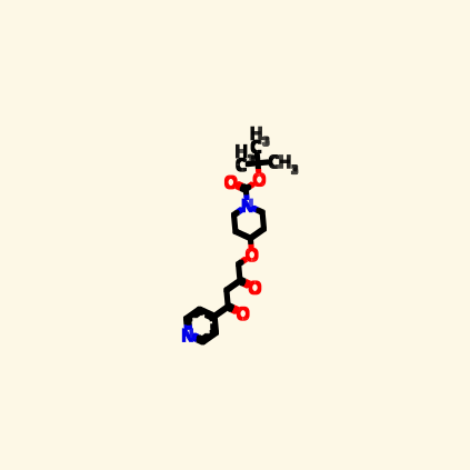 CC(C)(C)OC(=O)N1CCC(OCC(=O)CC(=O)c2ccncc2)CC1